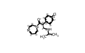 CC(C)NC[C@@H](C(=O)N1C=CC=NC=C1)c1ccc(Cl)cc1